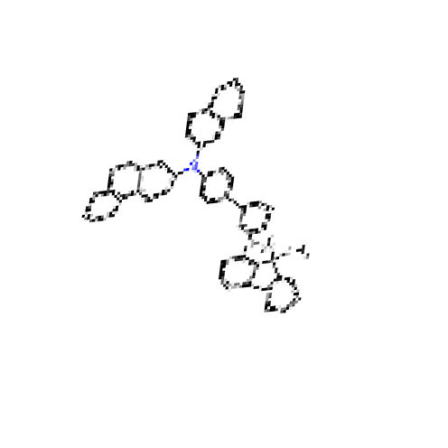 CC1(C)c2ccccc2-c2cccc(-c3cccc(-c4ccc(N(c5ccc6ccccc6c5)c5ccc6c(ccc7ccccc76)c5)cc4)c3)c21